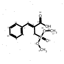 COP(=O)(CC(=Cc1ccccc1)C(=O)O)OC